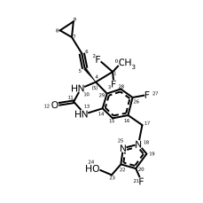 CC(F)(F)[C@@]1(C#CC2CC2)NC(=O)Nc2cc(Cn3cc(F)c(CO)n3)c(F)cc21